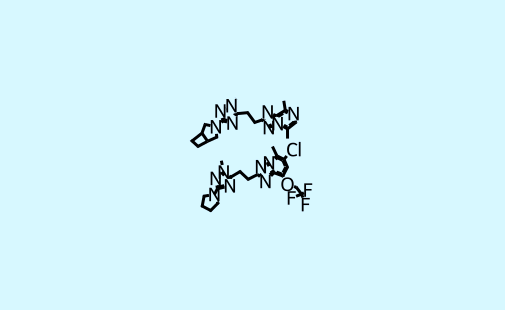 Cc1c(Cl)cc(OCC(F)(F)F)c2nc(CCc3nc(N4CCCC4)nn3C)nn12.Cc1ncc(C)n2nc(CCc3nc(N4CC5CCC5C4)nn3C)nc12